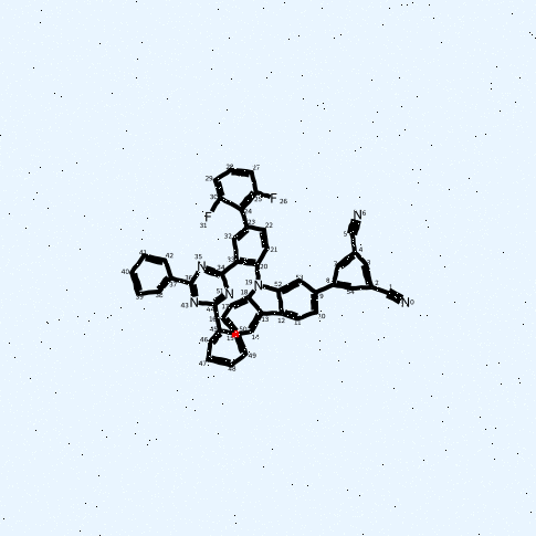 N#Cc1cc(C#N)cc(-c2ccc3c4ccccc4n(-c4ccc(-c5c(F)cccc5F)cc4-c4nc(-c5ccccc5)nc(-c5ccccc5)n4)c3c2)c1